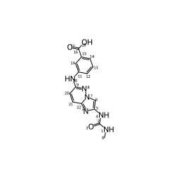 CNC(=O)Nc1cn2nc(Nc3cccc(C(=O)O)c3)ccc2n1